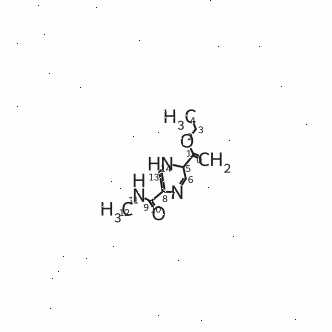 C=C(OCC)C1C=NC(C(=O)NC)=CN1